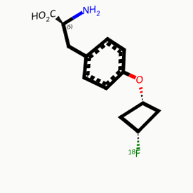 N[C@@H](Cc1ccc(O[C@H]2C[C@@H]([18F])C2)cc1)C(=O)O